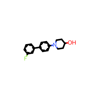 OC1CCN(c2ccc(-c3cccc(F)c3)cc2)CC1